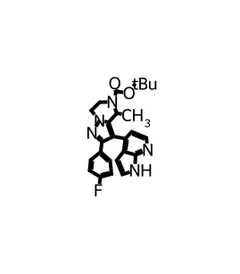 CC1c2c(-c3ccnc4[nH]ccc34)c(-c3ccc(F)cc3)nn2CCN1C(=O)OC(C)(C)C